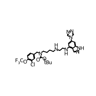 CC(C)(C)OC(=O)N(CCCCNCCNc1cc(-n2cnnc2)cc2[nH]ncc12)Cc1ccc(OC(F)(F)F)c(Cl)c1